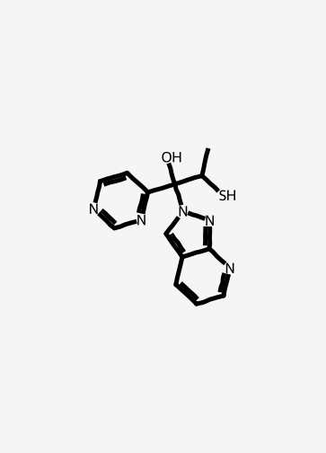 CC(S)C(O)(c1ccncn1)n1cc2cccnc2n1